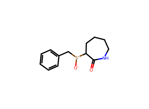 O=C1NCCCCC1[S+]([O-])Cc1ccccc1